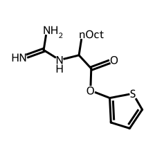 CCCCCCCCC(NC(=N)N)C(=O)Oc1cccs1